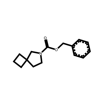 O=C(OCc1ccccc1)N1CCC2(CCC2)C1